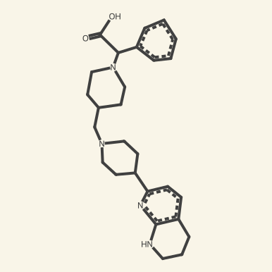 O=C(O)C(c1ccccc1)N1CCC(CN2CCC(c3ccc4c(n3)NCCC4)CC2)CC1